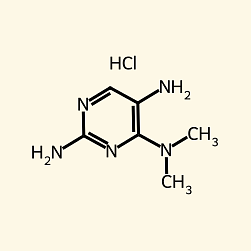 CN(C)c1nc(N)ncc1N.Cl